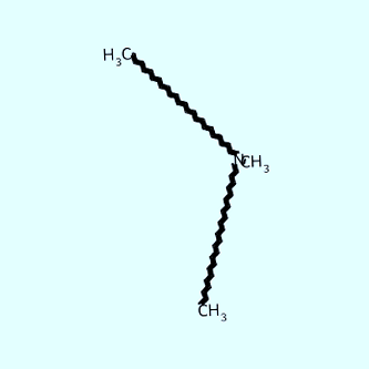 CCCCCCCCCCCCCCCCCCCCCCCCCCN(C)CCCCCCCCCCCCCCCCCCCCCCCCCC